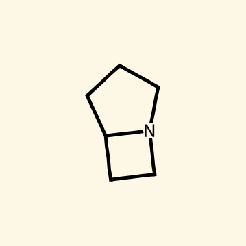 C1CC2CCN2C1